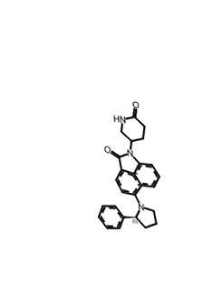 O=C1CCC(N2C(=O)c3ccc(N4CCC[C@H]4c4ccccc4)c4cccc2c34)CN1